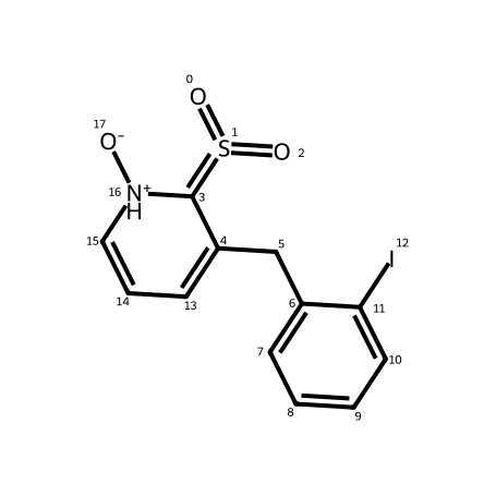 O=S(=O)=C1C(Cc2ccccc2I)=CC=C[NH+]1[O-]